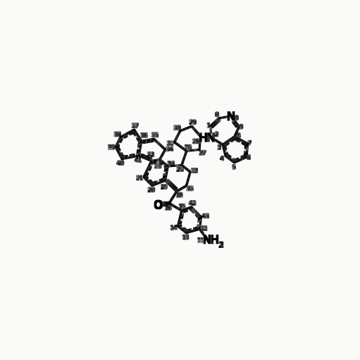 C1=CNc2ccccc2C=N1.Nc1ccc(C(=O)C2=c3ccc4c(c3C(C3CCCCC3)CC2)CC=c2ccccc2=4)cc1